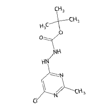 Cc1nc(Cl)cc(NNC(=O)OC(C)(C)C)n1